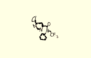 O=C(c1cc(Cl)ncn1)N(CC(F)(F)F)c1ccccc1